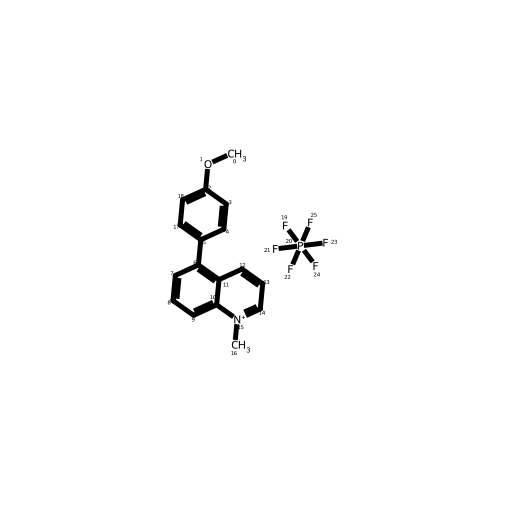 COc1ccc(-c2cccc3c2ccc[n+]3C)cc1.F[P-](F)(F)(F)(F)F